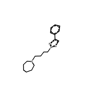 c1ccc(-c2cnn(CCCCN3CCCCCC3)n2)cc1